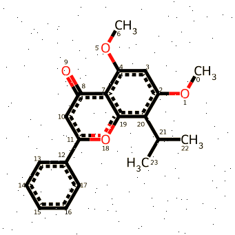 COc1cc(OC)c2c(=O)cc(-c3ccccc3)oc2c1C(C)C